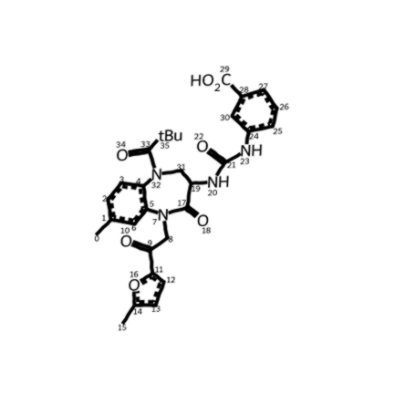 Cc1ccc2c(c1)N(CC(=O)c1ccc(C)o1)C(=O)C(NC(=O)Nc1cccc(C(=O)O)c1)CN2C(=O)C(C)(C)C